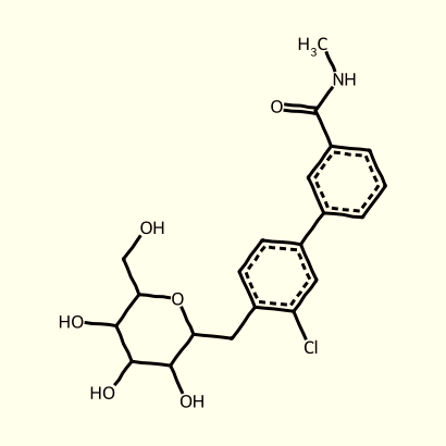 CNC(=O)c1cccc(-c2ccc(CC3OC(CO)C(O)C(O)C3O)c(Cl)c2)c1